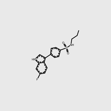 CCCNS(=O)(=O)c1ccc(-c2c[nH]c3cc(F)ccc23)cc1